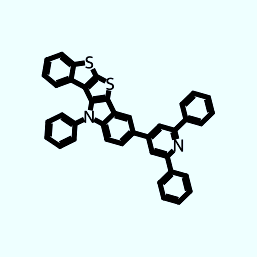 c1ccc(-c2cc(-c3ccc4c(c3)c3sc5sc6ccccc6c5c3n4-c3ccccc3)cc(-c3ccccc3)n2)cc1